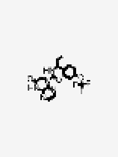 CCC(NC(=O)N1CC(=O)Nc2nccnc21)c1ccc(OC(F)(F)F)cc1